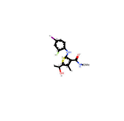 CONC(=O)c1c(Nc2ccc(I)cc2F)sc(C(C)O)c1C